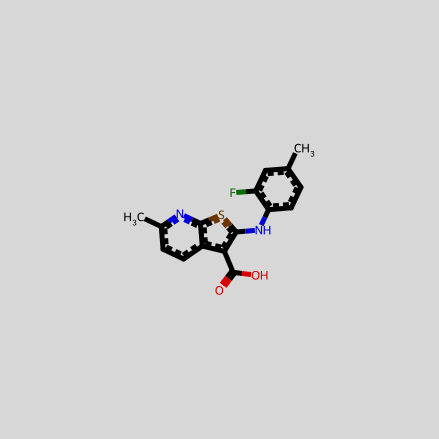 Cc1ccc(Nc2sc3nc(C)ccc3c2C(=O)O)c(F)c1